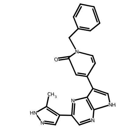 Cc1[nH]ncc1-c1cnc2[nH]cc(-c3ccn(Cc4ccccc4)c(=O)c3)c2n1